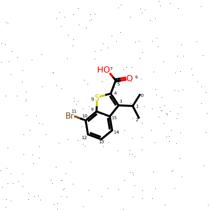 CC(C)c1c(C(=O)O)sc2c(Br)cccc12